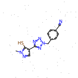 Cn1ncc(-c2nnn(Cc3ccc(C#N)cc3)n2)c1S